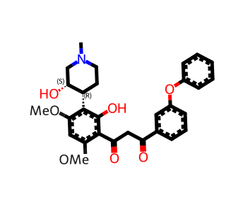 COc1cc(OC)c([C@H]2CCN(C)C[C@H]2O)c(O)c1C(=O)CC(=O)c1cccc(Oc2ccccc2)c1